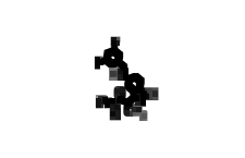 C=C(C(=O)NC(C)C)c1n[nH]c2ccc(NCc3cc(F)cc(F)c3)cc12